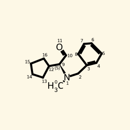 CN(Cc1ccccc1)[C@H](C=O)C1CCCC1